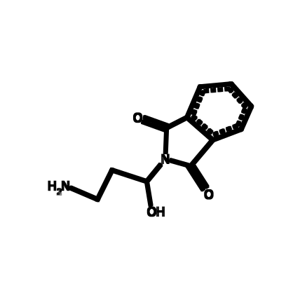 NCCC(O)N1C(=O)c2ccccc2C1=O